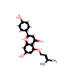 CC(C)=CCOc1cc(O)cc2oc(-c3ccc(O)cc3)cc(=O)c12